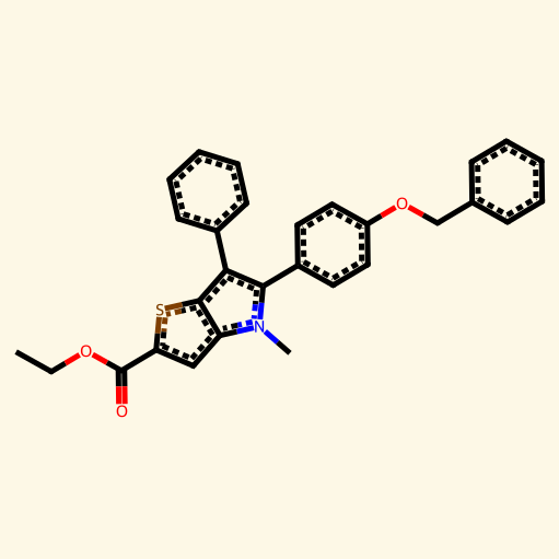 CCOC(=O)c1cc2c(s1)c(-c1ccccc1)c(-c1ccc(OCc3ccccc3)cc1)n2C